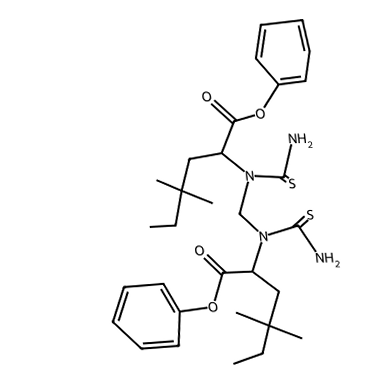 CCC(C)(C)CC(C(=O)Oc1ccccc1)N(CN(C(N)=S)C(CC(C)(C)CC)C(=O)Oc1ccccc1)C(N)=S